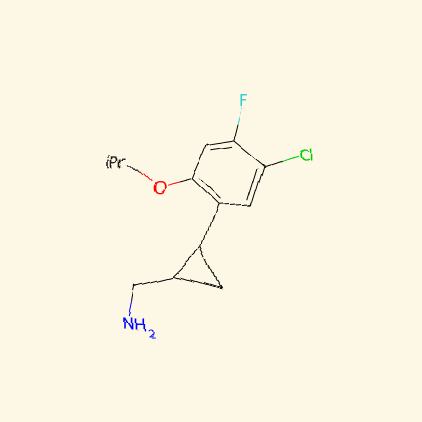 CC(C)Oc1cc(F)c(Cl)cc1C1CC1CN